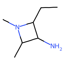 CCC1C(N)C(C)N1C